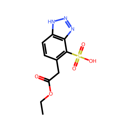 CCOC(=O)Cc1ccc2[nH]nnc2c1S(=O)(=O)O